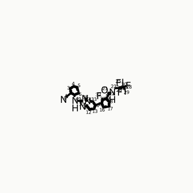 N#Cc1ccccc1Nc1nc2ccc(-c3cccc(C(=O)NCC(F)(F)C(F)(I)I)c3F)cn2n1